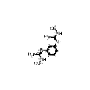 CC(C)(C)N/C(P)=N/c1cccc(/N=C(/P)NC(C)(C)C)c1